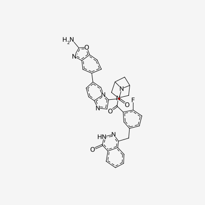 Nc1nc2cc(-c3ccc4ncc(C(=O)N5C6CC5CN(C(=O)c5cc(Cc7n[nH]c(=O)c8ccccc78)ccc5F)C6)n4c3)ccc2o1